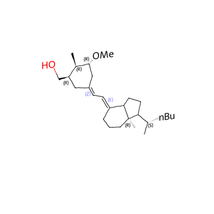 CCCC[C@H](C)C1CCC2/C(=C/C=C3/C[C@@H](CO)[C@@H](C)[C@H](OC)C3)CCC[C@@]21C